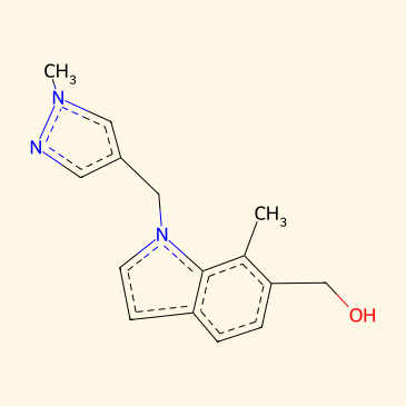 Cc1c(CO)ccc2ccn(Cc3cnn(C)c3)c12